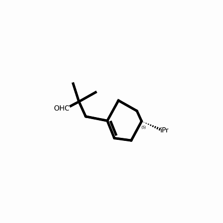 CC(C)[C@@H]1CC=C(CC(C)(C)C=O)CC1